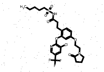 CCCCCS(=O)(=O)NC(=O)CCc1ccc(OCCN2CCCC2=O)cc1Oc1ncc(C(F)(F)F)cc1Cl